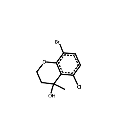 CC1(O)CCOc2c(Br)ccc(Cl)c21